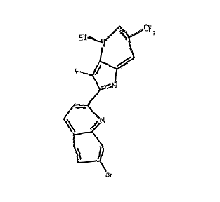 CCn1cc(C(F)(F)F)cc2nc(-c3ccc4ccc(Br)cc4n3)c(F)c1-2